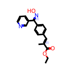 CCOC(=O)/C(C)=C/c1ccc(/C(=N/O)c2cccnc2)cc1